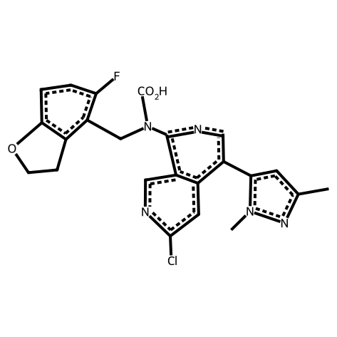 Cc1cc(-c2cnc(N(Cc3c(F)ccc4c3CCO4)C(=O)O)c3cnc(Cl)cc23)n(C)n1